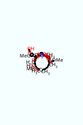 COCCO[C@H]1C[C@@H]2CC[C@@H](C)[C@@](O)(O2)C(=O)C(=O)N2CCCC[C@H]2C(=O)O[C@H](C(C)C[C@@H]2CC[C@@H](OCCO)[C@H](OC)C2)CC(=O)[C@H](C)/C=C(\C)[C@@H](O)[C@@H](OC)C(=O)[C@H](C)C[C@H](C)/C=C/C=C/C=C/1C